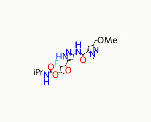 COCc1cc(C(=O)Nc2cc([C@H]3OC[C@@H](OC(=O)NC(C)C)[C@H]3F)[nH]n2)n(C)n1